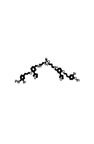 CC(C)Oc1ccc(CCCOc2ccc(CNCCCO[PH](=O)OCCCNCc3ccc(OCCCc4ccc(OC(C)C)c(Br)c4)c(-c4ccoc4)c3)cc2-c2ccoc2)cc1Br